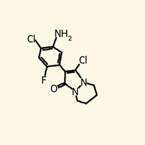 Nc1cc(-c2c(Cl)n3n(c2=O)CCCC3)c(F)cc1Cl